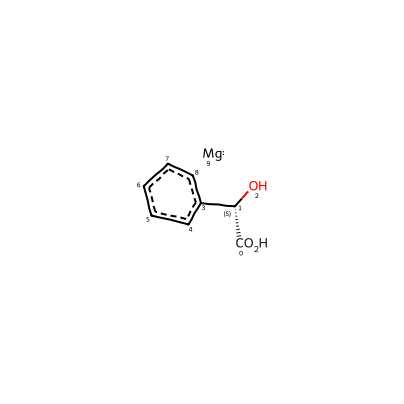 O=C(O)[C@@H](O)c1ccccc1.[Mg]